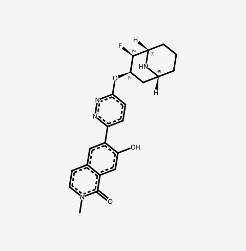 Cn1ccc2cc(-c3ccc(O[C@@H]4C[C@H]5CCC[C@H](N5)[C@@H]4F)nn3)c(O)cc2c1=O